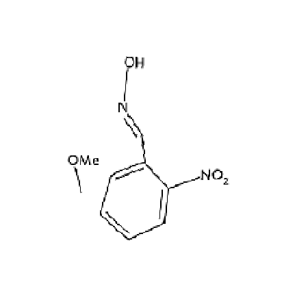 COC.O=[N+]([O-])c1ccccc1C=NO